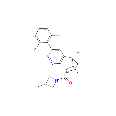 CC1CN(C(=O)[C@]23CC[C@H](c4cc(-c5c(F)cccc5F)nnc42)C3(C)C)C1